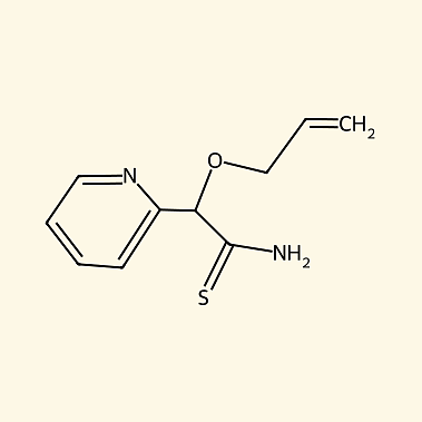 C=CCOC(C(N)=S)c1ccccn1